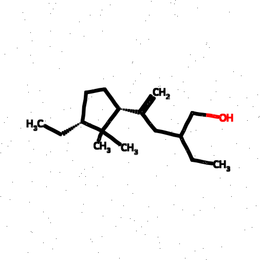 C=C(CC(CC)CO)[C@H]1CC[C@@H](CC)C1(C)C